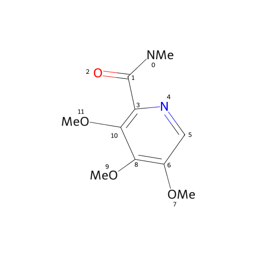 CNC(=O)c1ncc(OC)c(OC)c1OC